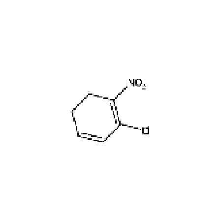 O=[N+]([O-])C1=C(Cl)C=CC[CH]1